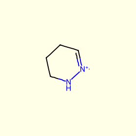 C1=[N+]NCCC1